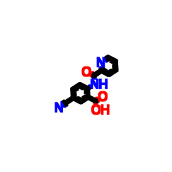 N#Cc1ccc(NC(=O)c2ccccn2)c(C(=O)O)c1